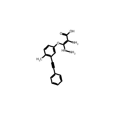 Cc1ccc(O/C(NN)=C(/N)C(=O)O)cc1C#Cc1ccccc1